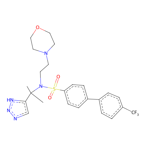 CC(C)(c1cnn[nH]1)N(CCN1CCOCC1)S(=O)(=O)c1ccc(-c2ccc(C(F)(F)F)cc2)cc1